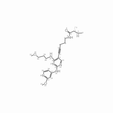 CN[C@@H](C)C(=O)NCCCC#Cc1cnc(Nc2ccnc(OC)c2)nc1NCCCOC